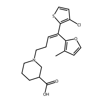 Cc1ccoc1/C(=C\CCN1CCCC(C(=O)O)C1)c1sccc1Cl